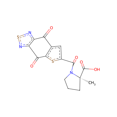 C[C@]1(C(=O)O)CCCN1C(=O)c1cc2c(s1)C(=O)c1nsnc1C2=O